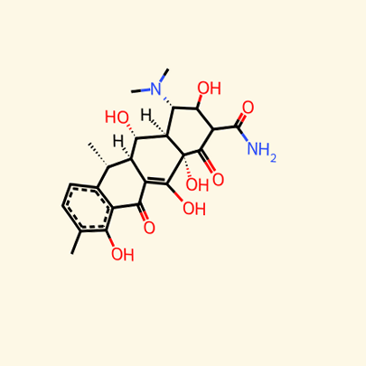 Cc1ccc2c(c1O)C(=O)C1=C(O)[C@]3(O)C(=O)C(C(N)=O)C(O)[C@@H](N(C)C)[C@@H]3[C@@H](O)[C@@H]1[C@H]2C